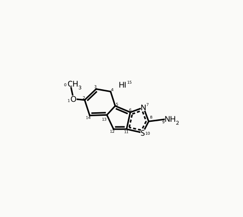 COC1=CCC2=c3nc(N)sc3=CC2=C1.I